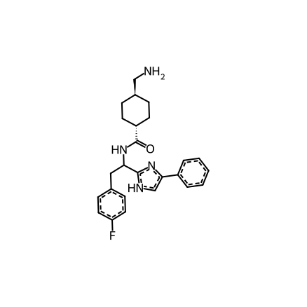 NC[C@H]1CC[C@H](C(=O)NC(Cc2ccc(F)cc2)c2nc(-c3ccccc3)c[nH]2)CC1